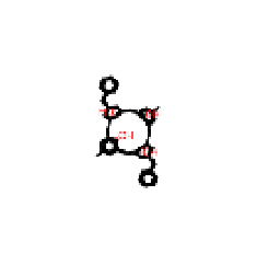 Cc1cc2c(O)c(c1)Cc1cc(Cc3ccccc3)cc(c1O)Cc1cc(C)cc(c1O)Cc1cc(Cc3ccccc3)cc(c1O)C2